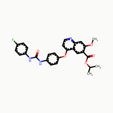 COc1cc2nccc(Oc3ccc(NC(=O)Nc4ccc(F)cc4)cc3)c2cc1C(=O)OC(C)C